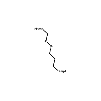 CCCCCCCCCC[P][P]CCCCCCCC